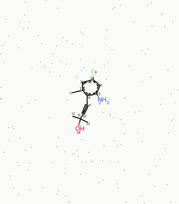 Cc1cc(F)cc(N)c1C#CC(C)(C)O